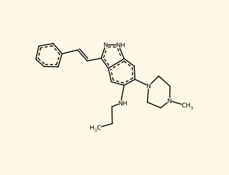 CCCNc1cc2c(/C=C/c3ccccc3)n[nH]c2cc1N1CCN(C)CC1